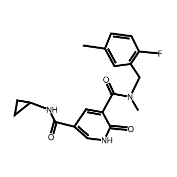 Cc1ccc(F)c(CN(C)C(=O)c2cc(C(=O)NC3CC3)c[nH]c2=O)c1